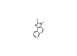 Cn1c(I)nc2c3ccccc3ccc21